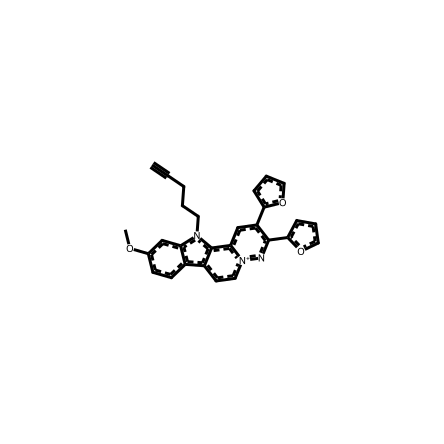 C#CCCCn1c2cc(OC)ccc2c2cc[n+]3nc(-c4ccco4)c(-c4ccco4)cc3c21